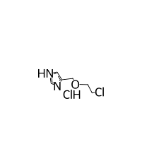 Cl.ClCCOCc1c[nH]cn1